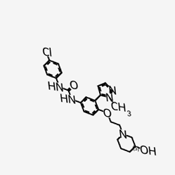 Cn1nccc1-c1cc(NC(=O)Nc2ccc(Cl)cc2)ccc1OCCN1CCC[C@H](O)C1